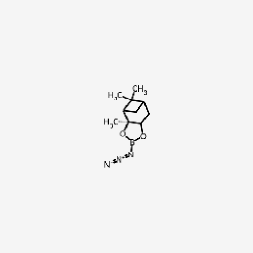 CC1(C)C2CC3OB(N=[N+]=[N-])O[C@@]3(C)C1C2